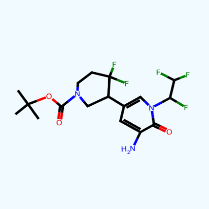 CC(C)(C)OC(=O)N1CCC(F)(F)C(c2cc(N)c(=O)n(C(F)C(F)F)c2)C1